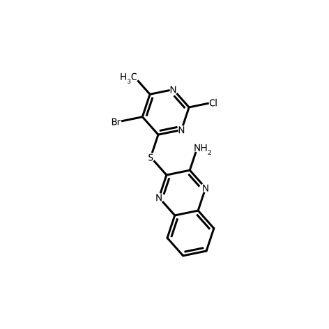 Cc1nc(Cl)nc(Sc2nc3ccccc3nc2N)c1Br